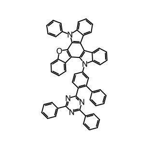 c1ccc(-c2nc(-c3ccccc3)nc(-c3ccc(-n4c5ccccc5c5c6c7ccccc7n(-c7ccccc7)c6c6oc7ccccc7c6c54)cc3-c3ccccc3)n2)cc1